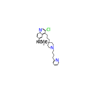 COc1ccc2ncc(Cl)c(CCCC3(C(=O)O)CCN(CCCCc4ccccn4)CC3)c2c1